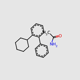 CC(N)=O.c1ccc(-c2ccccc2C2CCCCC2)cc1